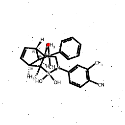 CC12[C@H]3C=C[C@@H]([C@H]3[Si](C)(C)c3ccccc3)[C@@H]1CN(c1ccc(C#N)c(C(F)(F)F)c1)S2(O)O